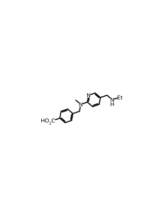 CCNCc1ccc(N(C)Cc2ccc(C(=O)O)cc2)nc1